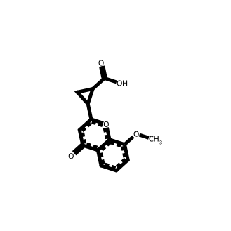 COc1cccc2c(=O)cc(C3CC3C(=O)O)oc12